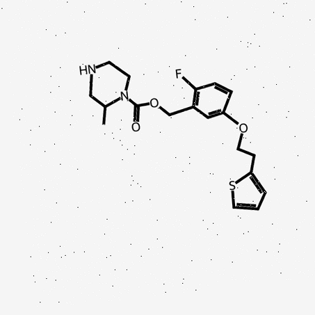 CC1CNCCN1C(=O)OCc1cc(OCCc2cccs2)ccc1F